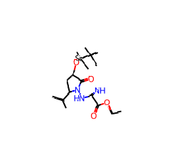 CCOC(=O)C(=N)NN1C(=O)C(O[Si](C)(C)C(C)(C)C)CC1C(C)C